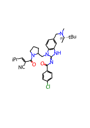 CC(C)C=C(C#N)C(=O)N1CCCC1Cn1c(=NC(=O)c2ccc(Cl)cc2)[nH]c2cc(CN(C)[C@@H](C)C(C)(C)C)ccc21